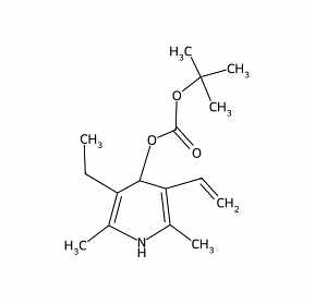 C=CC1=C(C)NC(C)=C(CC)C1OC(=O)OC(C)(C)C